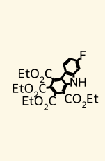 CCOC(=O)c1c(C(=O)OCC)c(C(=O)OCC)c2c([nH]c3cc(F)ccc32)c1C(=O)OCC